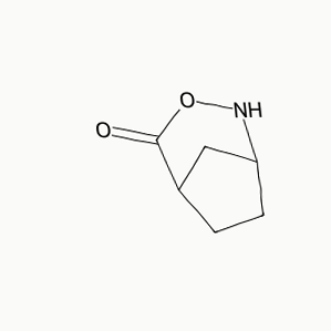 O=C1ONC2CCC1C2